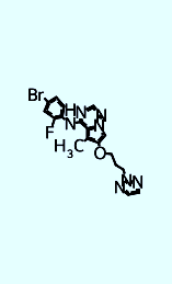 Cc1c(OCCCn2nccn2)cn2ncnc(Nc3ccc(Br)cc3F)c12